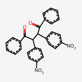 O=C(c1ccccc1)C(c1ccc([N+](=O)[O-])cc1)C(C(=O)c1ccccc1)c1ccc([N+](=O)[O-])cc1